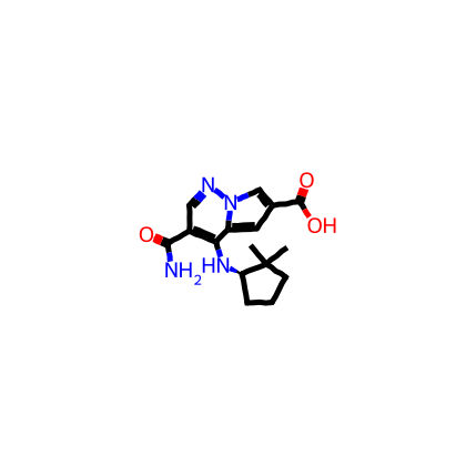 CC1(C)CCC[C@H]1Nc1c(C(N)=O)cnn2cc(C(=O)O)cc12